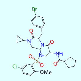 COc1ccc(Cl)cc1S(=O)(=O)N1CC(NC(=O)C2CCCC2)C(=O)N2C(Cc3ccc(Br)cc3)C(=O)N(C3CC3)CC21